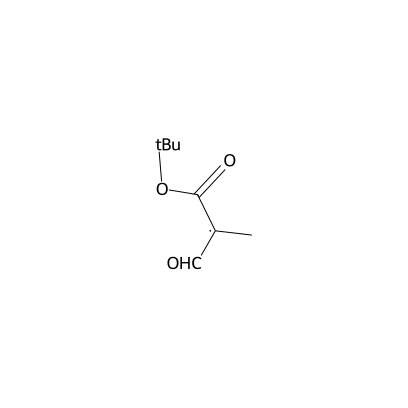 C[C](C=O)C(=O)OC(C)(C)C